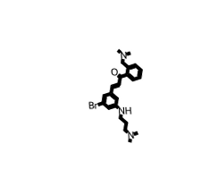 CN(C)CCCNc1cc(Br)cc(C=CC(=O)c2ccccc2CN(C)C)c1